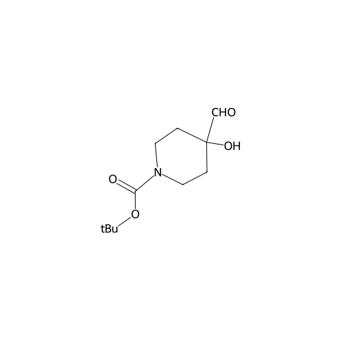 CC(C)(C)OC(=O)N1CCC(O)(C=O)CC1